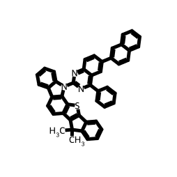 CC1(C)c2ccccc2-c2sc3c(ccc4c5ccccc5n(-c5nc(-c6ccccc6)c6cc(-c7ccc8ccccc8c7)ccc6n5)c43)c21